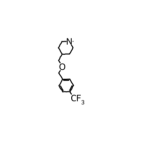 FC(F)(F)c1ccc(COCC2CC[N]CC2)cc1